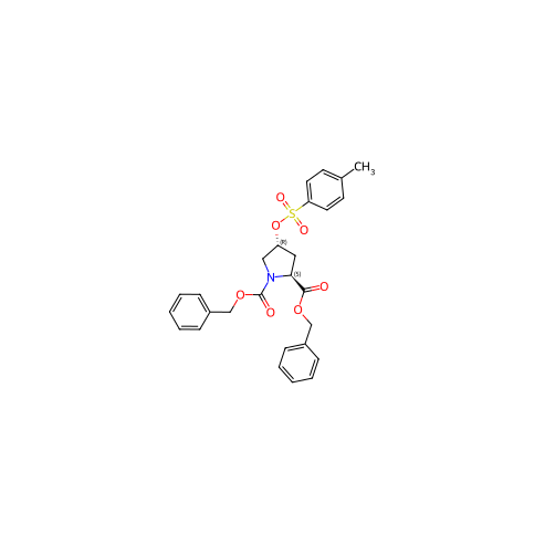 Cc1ccc(S(=O)(=O)O[C@@H]2C[C@@H](C(=O)OCc3ccccc3)N(C(=O)OCc3ccccc3)C2)cc1